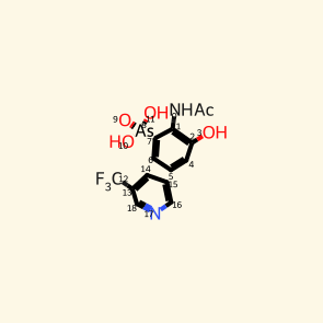 CC(=O)Nc1c(O)cccc1[As](=O)(O)O.FC(F)(F)c1cccnc1